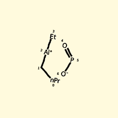 CCC[CH2][Al+][CH2]C.O=P[O-]